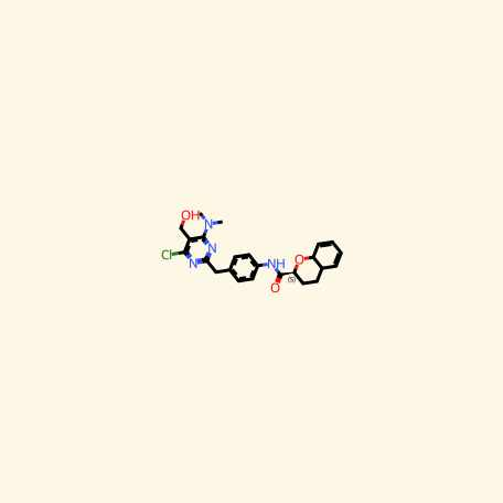 CN(C)c1nc(Cc2ccc(NC(=O)[C@@H]3CCC4C=CC=CC4O3)cc2)nc(Cl)c1CO